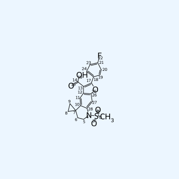 CS(=O)(=O)N1CCC2(CC2)c2cc3c(C(=O)O)c(-c4ccc(F)cc4)oc3cc21